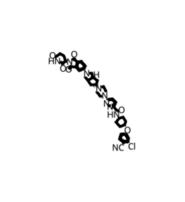 N#Cc1ccc(O[C@H]2CC[C@H](NC(=O)c3ccc(N4CCN([C@H]5CC6CN(c7ccc8c(c7)C(=O)N(C7CCC(=O)NC7=O)C8=O)C[C@H]6C5)CC4)nn3)CC2)cc1Cl